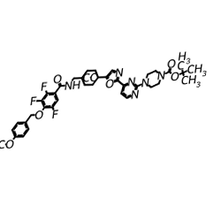 COc1ccc(COc2c(F)cc(C(=O)NCC34CCC(c5cnc(-c6ccnc(N7CCN(C(=O)OC(C)(C)C)CC7)n6)o5)(CC3)CC4)c(F)c2F)cc1